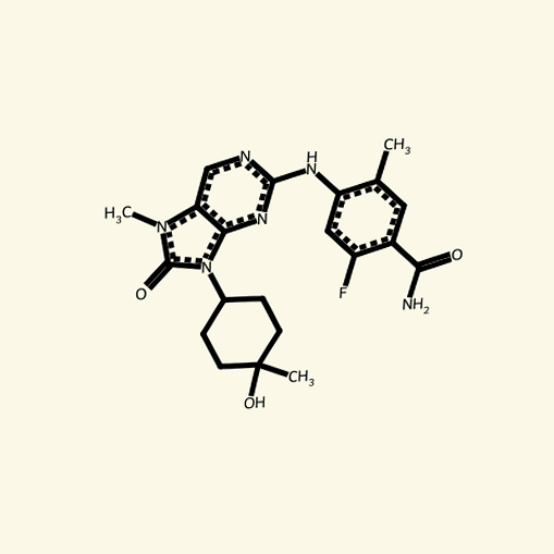 Cc1cc(C(N)=O)c(F)cc1Nc1ncc2c(n1)n(C1CCC(C)(O)CC1)c(=O)n2C